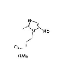 COC(=O)CCCn1c(N=O)cnc1C